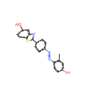 Cc1cc(O)ccc1/N=N/c1ccc(-c2nc3cc(O)ccc3s2)cc1